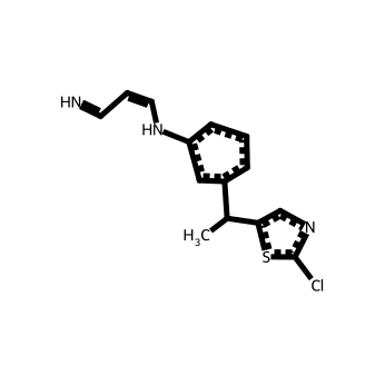 CC(c1cccc(N/C=C\C=N)c1)c1cnc(Cl)s1